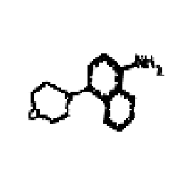 Nc1ccc(N2CCOCC2)c2ccccc12